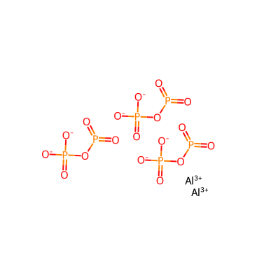 O=P(=O)OP(=O)([O-])[O-].O=P(=O)OP(=O)([O-])[O-].O=P(=O)OP(=O)([O-])[O-].[Al+3].[Al+3]